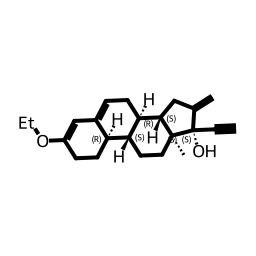 C#C[C@]1(O)C(=C)C[C@H]2[C@@H]3CC=C4C=C(OCC)CC[C@@H]4[C@H]3CC[C@@]21C